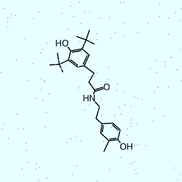 Cc1cc(CCNC(=O)CCc2cc(C(C)(C)C)c(O)c(C(C)(C)C)c2)ccc1O